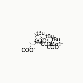 CC(CC(=O)[O-])CC(C)(C)C.CC(CC(=O)[O-])CC(C)(C)C.CC(CC(=O)[O-])CC(C)(C)C.CC(CC(=O)[O-])CC(C)(C)C.[Mo+4]